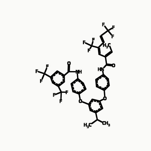 C\C=C(/C=C(\C=C\C(F)(F)F)C(F)(F)F)C(=O)Nc1ccc(Oc2cc(Oc3ccc(NC(=O)c4cc(C(F)(F)F)cc(C(F)(F)F)c4)cc3)cc(C(C)C)c2)cc1